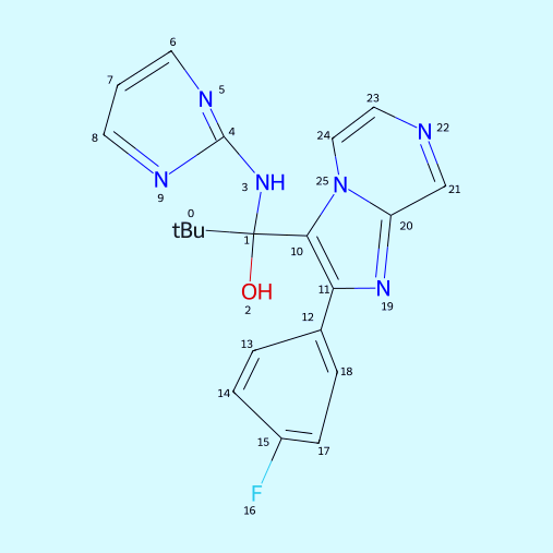 CC(C)(C)C(O)(Nc1ncccn1)c1c(-c2ccc(F)cc2)nc2cnccn12